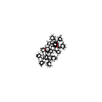 C1=CC(c2ccccc2)(C2c3cc4c(cc3B3c5ccccc5N(c5ccccc5)c5nc(N(c6ccccc6)c6ccccc6)cc2c53)B2c3cncnc3N(c3ccccc3)c3cc(N(c5ccccc5)c5ccccc5)nc(c32)N4c2ccccc2)C(c2ccccc2)=C1